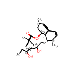 CCC(C)(C)C(=O)O[C@H]1C[C@@H](C)C=C2C=C[C@H](C)[C@H](CCC(O)C[C@@H](O)CC(C)=O)[C@H]21